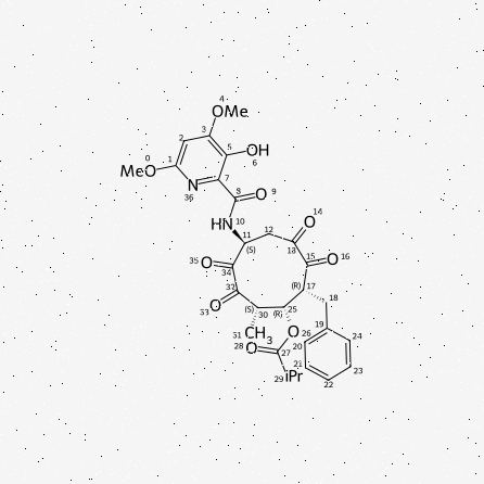 COc1cc(OC)c(O)c(C(=O)N[C@H]2CC(=O)C(=O)[C@H](Cc3ccccc3)[C@H](OC(=O)C(C)C)[C@H](C)C(=O)C2=O)n1